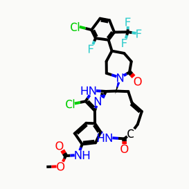 COC(=O)Nc1ccc2c(c1)NC(=O)CC/C=C/C[C@H](N1CCC(c3c(C(F)(F)F)ccc(Cl)c3F)CCC1=O)c1nc-2c(Cl)[nH]1